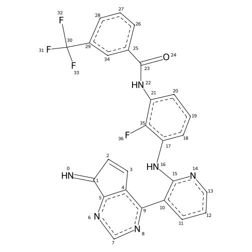 N=C1C=Cc2c1ncnc2-c1cccnc1Nc1cccc(NC(=O)c2cccc(C(F)(F)F)c2)c1F